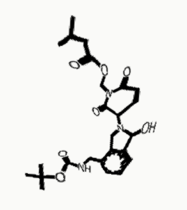 CC(C)CC(=O)OCN1C(=O)CCC(N2Cc3c(CNC(=O)OC(C)(C)C)cccc3C2O)C1=O